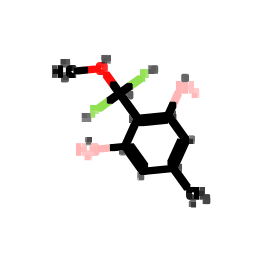 Bc1cc(C)cc(B)c1C(F)(F)OC